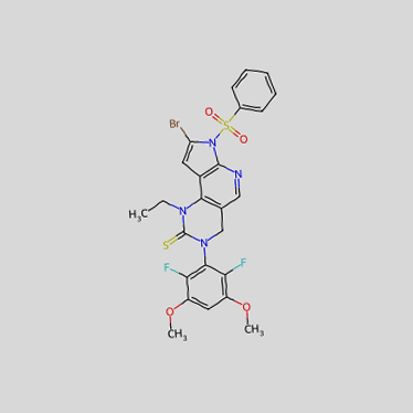 CCN1C(=S)N(c2c(F)c(OC)cc(OC)c2F)Cc2cnc3c(cc(Br)n3S(=O)(=O)c3ccccc3)c21